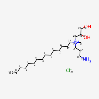 CCCCCCCCCCCCCCCCCCCCCCC[N+](C)(CCCN)CC(O)CO.[Cl-]